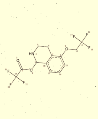 O=C(OC1NCCc2c(OCC(F)(F)F)cccc21)C(F)(F)F